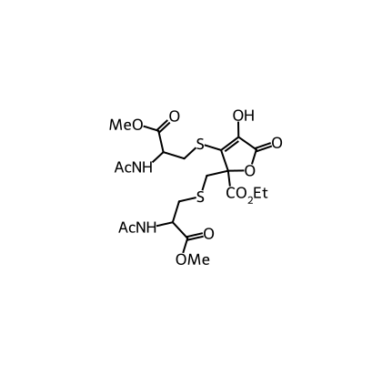 CCOC(=O)C1(CSCC(NC(C)=O)C(=O)OC)OC(=O)C(O)=C1SCC(NC(C)=O)C(=O)OC